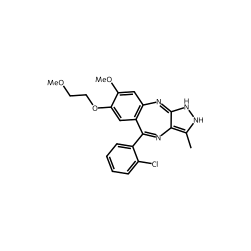 COCCOc1cc2c(cc1OC)N=C1NNC(C)=C1N=C2c1ccccc1Cl